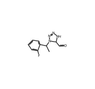 CC(c1ccccc1F)N1N=NNC1C=O